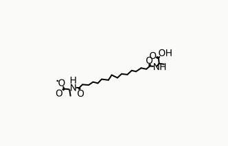 COC(=O)C(C)NC(=O)CCCCCCCCCCCCCCC(=O)NC(C)C(=O)O